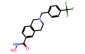 O=C(NO)c1ccc2c(c1)CCN(Cc1ccc(C(F)(F)F)cc1)C2